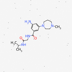 CC(C)NC(=O)CNC(=O)c1cc(N)cc(N2CCCN(C)CC2)c1